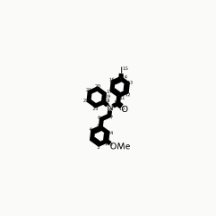 COc1cccc(CCN(C(=O)c2ccc(I)cc2)C2CCCCC2)c1